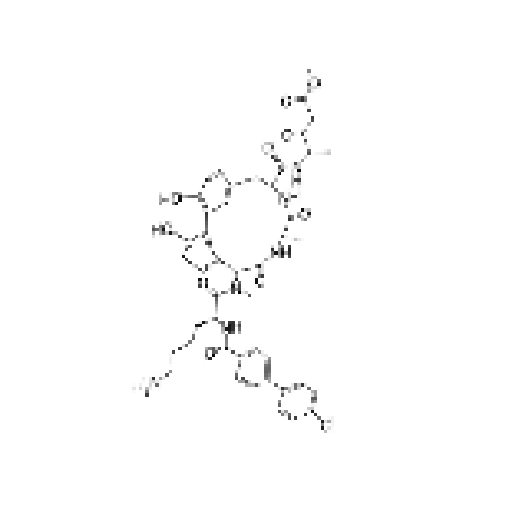 COC(=O)CC(=O)[C@H](C)NC(=O)[C@@H]1Cc2ccc(O)c(c2)-c2cc(ccc2O)[C@H](N(C)C(=O)[C@H](CCCCN)NC(=O)c2ccc(-c3ccc(Cl)cc3)cc2)C(=O)N[C@@H](C)C(=O)N1